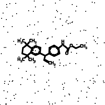 C=CC(c1ccc(NC(=O)OCC)cc1)c1ccc2c(c1)C(C)(C)CCC2(C)C